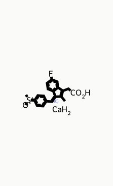 CC1=C(CC(=O)O)c2cc(F)ccc2/C1=C\c1ccc([S+](C)[O-])cc1.[CaH2]